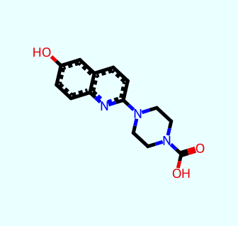 O=C(O)N1CCN(c2ccc3cc(O)ccc3n2)CC1